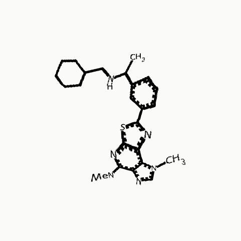 CNc1nc2sc(-c3cccc(C(C)NCC4CCCCC4)c3)nc2c2c1ncn2C